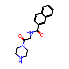 O=C(NCC(=O)N1CCNCC1)c1[c]c2ccccc2cc1